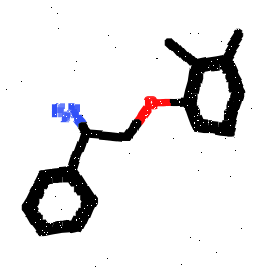 Cc1cccc(OCC(N)c2ccccc2)c1C